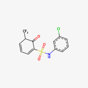 O=C1C(S(=O)(=O)Nc2cccc(Cl)c2)=CC=CC1C(F)(F)F